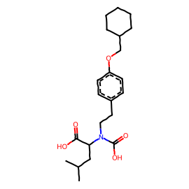 CC(C)CC(C(=O)O)N(CCc1ccc(OCC2CCCCC2)cc1)C(=O)O